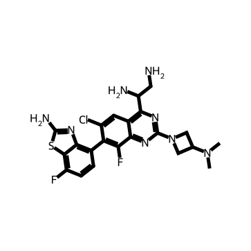 CN(C)C1CN(c2nc(C(N)CN)c3cc(Cl)c(-c4ccc(F)c5sc(N)nc45)c(F)c3n2)C1